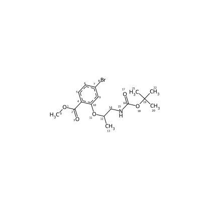 COC(=O)c1ccc(Br)cc1OC(C)CNC(=O)OC(C)(C)C